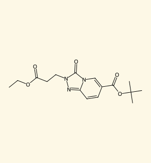 CCOC(=O)CCn1nc2ccc(C(=O)OC(C)(C)C)cn2c1=O